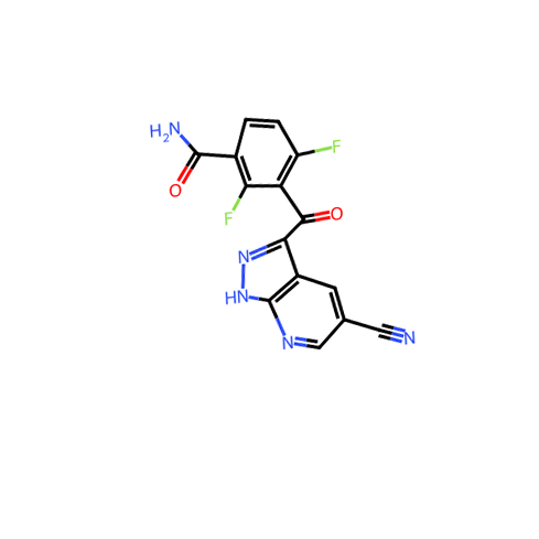 N#Cc1cnc2[nH]nc(C(=O)c3c(F)ccc(C(N)=O)c3F)c2c1